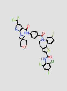 O=C(Nc1c(F)cc(F)cc1Cl)c1cc2c(s1)-c1ccc(F)cc1N(C(=O)c1ccc(NC(=O)c3cc(C(F)F)cnc3N3CC4(CCOCC4)C3)cc1)CC2